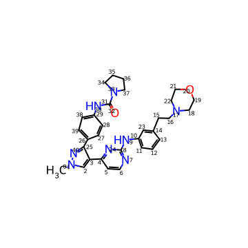 Cn1cc(-c2ccnc(Nc3cccc(CCN4CCOCC4)c3)n2)c(-c2ccc(NC(=O)N3CCCC3)cc2)n1